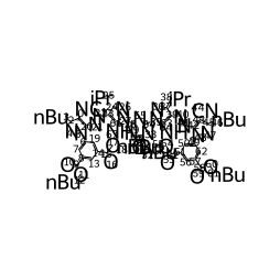 [C-]#[N+]c1c(CCCC)nn(-c2cc(C(=O)OCCCC)cc(C(=O)OCCCC)c2)c1N=Nc1c(C(C)C)nn(-c2nc(OCCCC)nc(-n3nc(C(C)C)c(N=Nc4c(C#N)c(CCCC)nn4-c4cc(C(=O)OCCCC)cc(C(=O)OCCCC)c4)c3N)n2)c1N